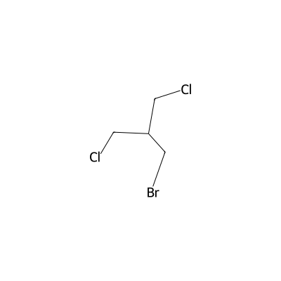 ClCC(CCl)CBr